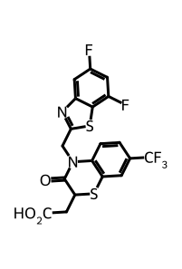 O=C(O)CC1Sc2cc(C(F)(F)F)ccc2N(Cc2nc3cc(F)cc(F)c3s2)C1=O